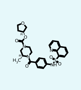 C[C@@H]1CN(C(=O)O[C@@H]2CCOC2)CCN1C(=O)c1ccc(NS(=O)(=O)c2cccc3cccnc23)cc1